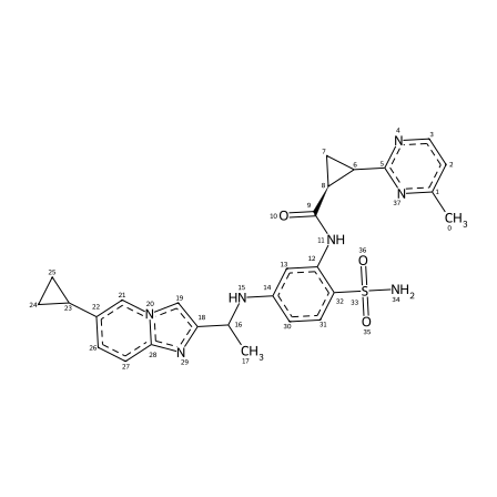 Cc1ccnc(C2C[C@@H]2C(=O)Nc2cc(NC(C)c3cn4cc(C5CC5)ccc4n3)ccc2S(N)(=O)=O)n1